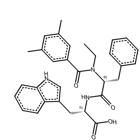 CCN(C(=O)c1cc(C)cc(C)c1)[C@H](Cc1ccccc1)C(=O)N[C@@H](Cc1c[nH]c2ccccc12)C(=O)O